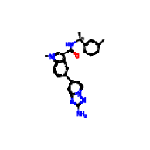 Cc1cccc([C@H](C)NC(=O)c2cn(C)c3ccc(-c4ccn5nc(N)nc5c4)cc23)c1